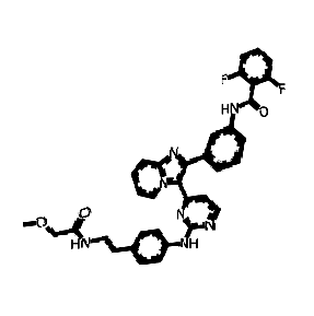 COCC(=O)NCCc1ccc(Nc2nccc(-c3c(-c4cccc(NC(=O)c5c(F)cccc5F)c4)nc4ccccn34)n2)cc1